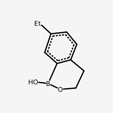 CCc1ccc2c(c1)B(O)OCC2